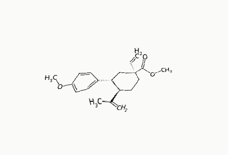 C=C[C@]1(C(=O)OC)CC[C@@H](C(=C)C)[C@H](c2ccc(OC)cc2)C1